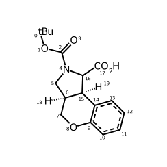 CC(C)(C)OC(=O)N1C[C@@H]2COc3ccccc3[C@@H]2C1C(=O)O